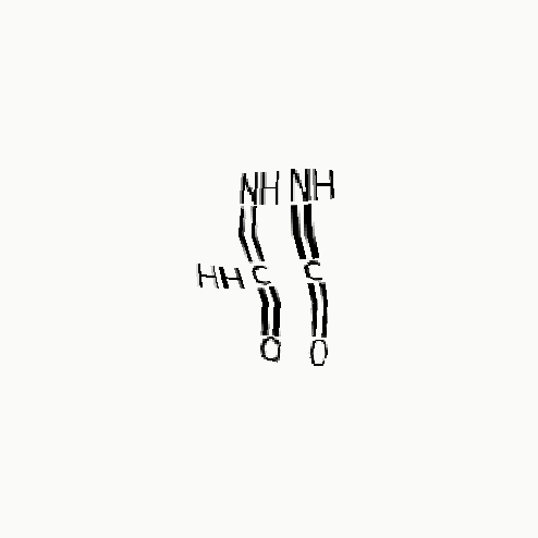 N=C=O.N=C=O.[HH]